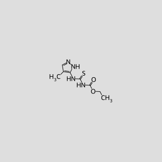 CCOC(=O)NC(=S)Nc1[nH]ncc1C